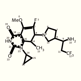 COC1=C(F)C(N2CCC(C(N)CC(F)(F)F)C2)C(C)c2c1c(=O)[nH]c(=O)n2C1CC1